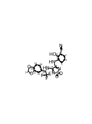 N#Cc1cccc(NC2=NS(=O)(=O)N=C2N[C@@H](c2ccc3c(c2)OCO3)C(F)(F)F)c1O